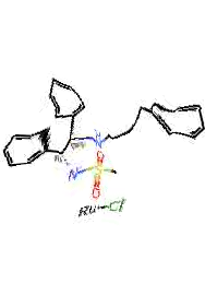 CS(=O)(=O)[N-][C@H](c1ccccc1)[C@H](NCCCc1ccccc1)c1ccccc1.[Cl][Ru+]